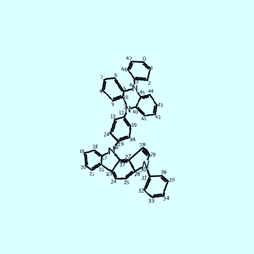 c1ccc(N2c3ccccc3N(c3ccc(-n4c5ccccc5c5ccc6c(ccn6-c6ccccc6)c54)cc3)c3ccccc32)cc1